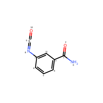 NC(=O)c1cccc(N=C=O)c1